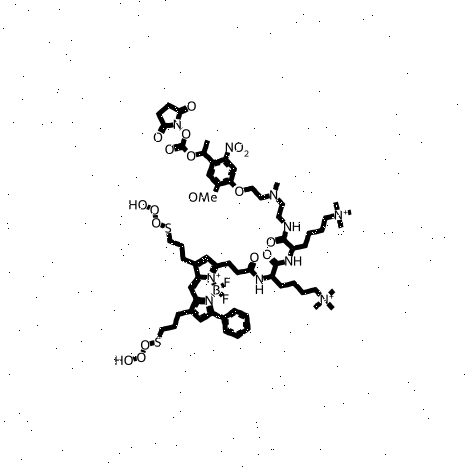 COc1cc(C(C)OC(=O)ON2C(=O)CCC2=O)c([N+](=O)[O-])cc1OCCN(C)CCNC(=O)C(CCCC[N+](C)(C)C)NC(=O)C(CCCC[N+](C)(C)C)NC(=O)CCC1=[N+]2C(=Cc3c(CCCSOOO)cc(-c4ccccc4)n3[B-]2(F)F)C(CCCSOOO)=C1